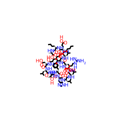 CCCCCCCCCCCCCC(=O)N[C@@H](CC(=O)O)C(=O)N[C@@H](CC(C)C)C(=O)N[C@H](C(=O)N[C@H](Cc1ccccc1)C(=O)N[C@@H](Cc1c[nH]cn1)C(=O)N[C@@H](CC(C)C)C(=O)N[C@@H](CC(C)C)C(=O)N[C@@H](CCCNC(=N)N)C(=O)N[C@@H](CCC(=O)O)C(=O)N[C@H](C(=O)N[C@@H](CC(C)C)C(=O)N[C@@H](CCC(=O)O)C(=O)N[C@@H](CCCC)C(=O)N[C@@H](C)C(=O)O)C(C)C)[C@@H](C)O